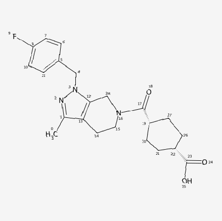 Cc1nn(Cc2ccc(F)cc2)c2c1CCN(C(=O)[C@H]1CC[C@@H](C(=O)O)CC1)C2